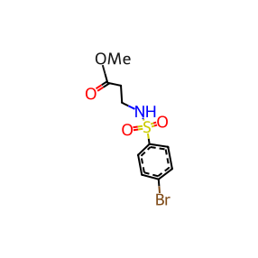 COC(=O)CCNS(=O)(=O)c1ccc(Br)cc1